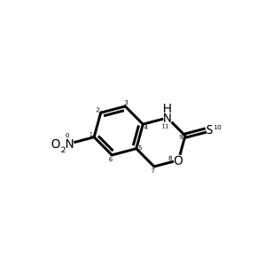 O=[N+]([O-])c1ccc2c(c1)COC(=S)N2